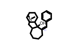 CN(C)CC1CCCC/C(=C/c2ccccc2)C1(O)C1CCCCC1